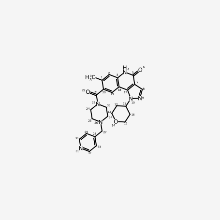 Cc1cc2[nH]c(=O)c3cnn(C4CCOCC4)c3c2cc1C(=O)N1CCN(Cc2ccncc2)CC1